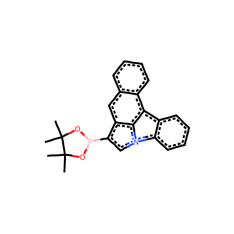 CC1(C)OB(c2cn3c4ccccc4c4c5ccccc5cc2c43)OC1(C)C